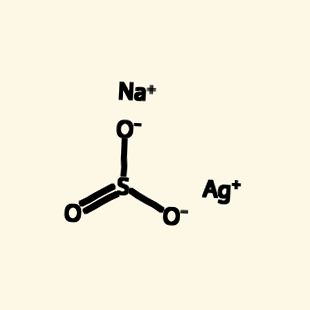 O=S([O-])[O-].[Ag+].[Na+]